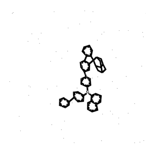 c1ccc(-c2ccc(N(c3ccc(-c4ccc5c(c4)C4(c6ccccc6-5)C5CC6CC(C5)CC4C6)cc3)c3cccc4ccccc34)cc2)cc1